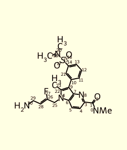 CNC(=O)c1ccc2c(n1)c(-c1cccc(S(=O)(=O)N(C)C)c1)c(C)n2CC(F)=CCN